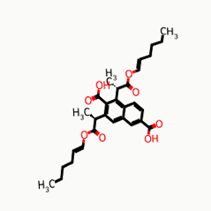 CCCC/C=C/OC(=O)[C@@H](C)c1cc2cc(C(=O)O)ccc2c([C@H](C)C(=O)O/C=C/CCCC)c1C(=O)O